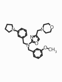 COc1cccc(CN(Cc2cccc(N3CCCC3)c2)c2nc(CN3CCOCC3)co2)c1